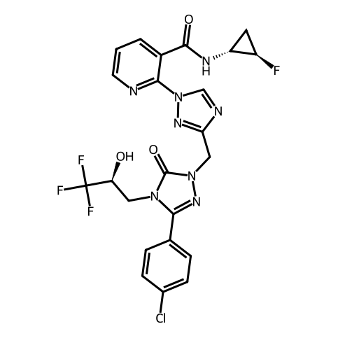 O=C(N[C@@H]1C[C@H]1F)c1cccnc1-n1cnc(Cn2nc(-c3ccc(Cl)cc3)n(C[C@H](O)C(F)(F)F)c2=O)n1